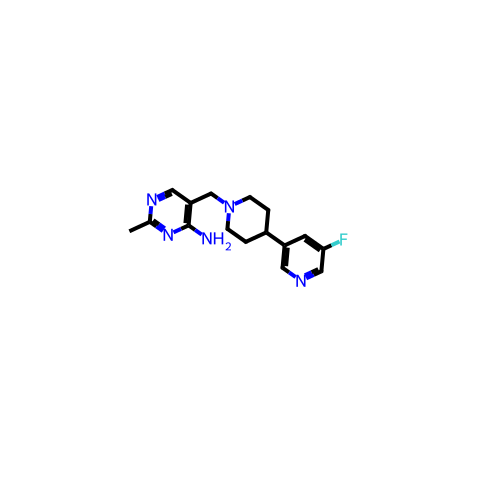 Cc1ncc(CN2CCC(c3cncc(F)c3)CC2)c(N)n1